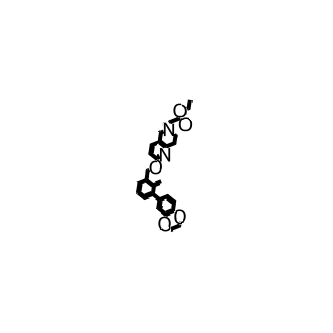 CCOC(=O)CN1CCc2nc(OCc3cccc(-c4ccc5c(c4)OCCO5)c3C)ccc2C1